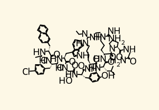 CC/N=C(/NCC)NCCCC[C@H](NC(=O)[C@H](Cc1ccc(O)cc1)NC(=O)[C@H](CO)NC(=O)[C@H](Cc1c[nH]c2ccccc12)NC(=O)[C@H](Cc1ccc(Cl)cc1)NC(=O)[C@@H](Cc1ccc2ccccc2c1)NC(C)=O)C(=O)N[C@@H](CC(C)C)C(=O)N[C@@H](CCCNC(=N)N)C(=O)N1CCC[C@H]1C(=O)N[C@H](C)C(N)=O